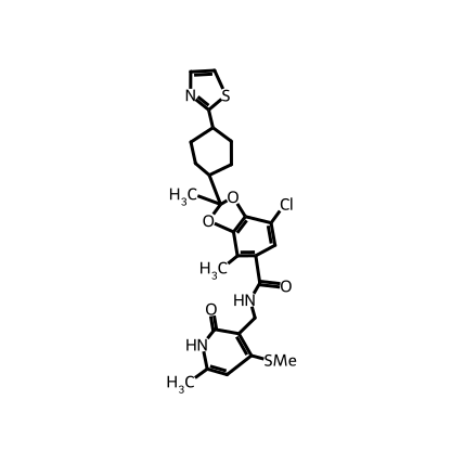 CSc1cc(C)[nH]c(=O)c1CNC(=O)c1cc(Cl)c2c(c1C)OC(C)(C1CCC(c3nccs3)CC1)O2